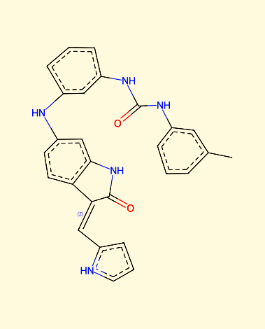 Cc1cccc(NC(=O)Nc2cccc(Nc3ccc4c(c3)NC(=O)/C4=C\c3ccc[nH]3)c2)c1